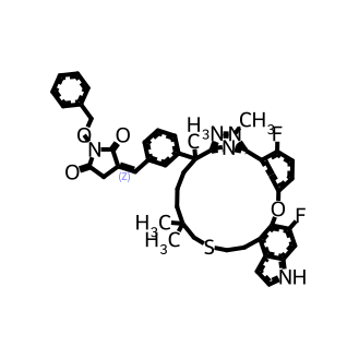 Cn1nc2nc1-c1cc(ccc1F)Oc1c(F)cc3[nH]ccc3c1CCSCC(C)(C)CCCC2(C)c1cccc(/C=C2/CC(=O)N(OCc3ccccc3)C2=O)c1